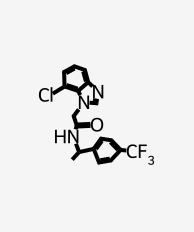 CC(NC(=O)Cn1cnc2cccc(Cl)c21)c1ccc(C(F)(F)F)cc1